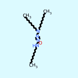 CCCCCCCCCCCCNCC(=O)N1CCN(CCN(CCCCCCCCCCCC)CCCCCCCCCCCC)CC1